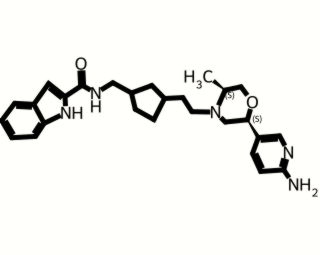 C[C@H]1CO[C@@H](c2ccc(N)nc2)CN1CCC1CCC(CNC(=O)c2cc3ccccc3[nH]2)C1